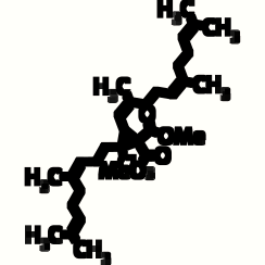 COC(=O)C1(C(=O)OC)C(C=C(C)CCC=C(C)CCC=C(C)C)C1(C)CCC=C(C)CCC=C(C)C